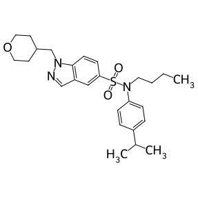 CCCCN(c1ccc(C(C)C)cc1)S(=O)(=O)c1ccc2c(cnn2CC2CCOCC2)c1